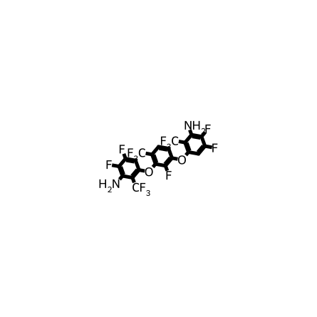 Nc1c(F)c(F)cc(Oc2ccc(C(F)(F)F)c(Oc3cc(F)c(F)c(N)c3C(F)(F)F)c2F)c1C(F)(F)F